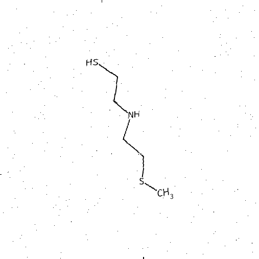 CSCCNCCS